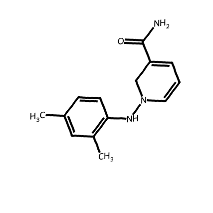 Cc1ccc(NN2C=CC=C(C(N)=O)C2)c(C)c1